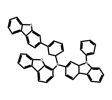 C1=CC(N(C2=CC3C(C=C2)c2ccccc2N3c2ccccc2)c2cccc3c2oc2ccccc23)CC(c2ccc3c(c2)sc2ccccc23)=C1